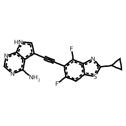 Nc1ncnc2[nH]cc(C#Cc3c(F)cc4sc(C5CC5)nc4c3F)c12